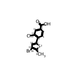 Cc1sc(-c2ccc(C(=O)O)cc2Cl)cc1Br